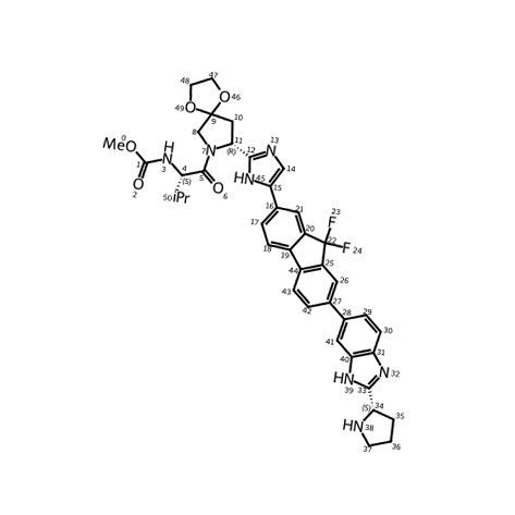 COC(=O)N[C@H](C(=O)N1CC2(C[C@@H]1c1ncc(-c3ccc4c(c3)C(F)(F)c3cc(-c5ccc6nc([C@@H]7CCCN7)[nH]c6c5)ccc3-4)[nH]1)OCCO2)C(C)C